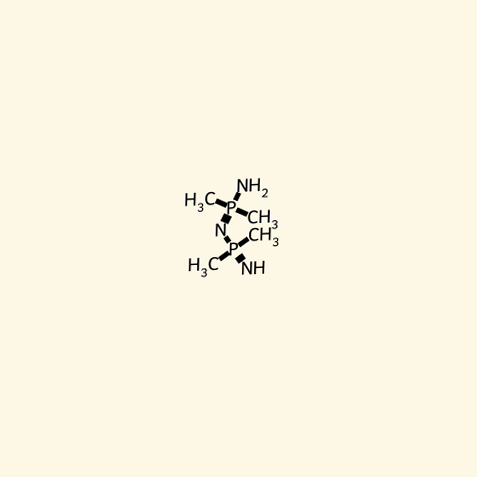 CP(C)(=N)N=P(C)(C)N